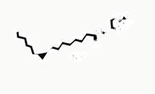 CCCCCC[C@@H]1C[C@@H]1CCCCCCCC(=O)OC[C@@H]1COP(=O)([O-])O1.[Na+]